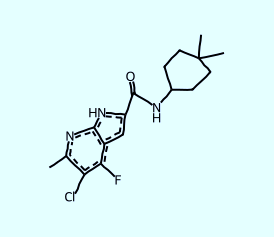 Cc1nc2[nH]c(C(=O)NC3CCC(C)(C)CC3)cc2c(F)c1Cl